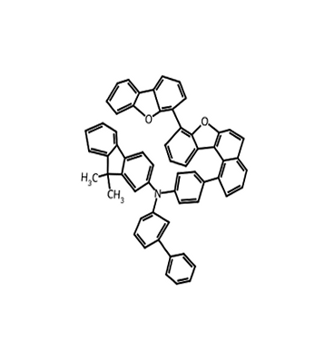 CC1(C)c2ccccc2-c2ccc(N(c3ccc(-c4cccc5ccc6oc7c(-c8cccc9c8oc8ccccc89)cccc7c6c45)cc3)c3cccc(-c4ccccc4)c3)cc21